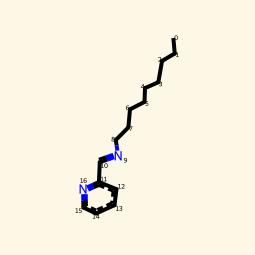 CCCCCCCCCN=Cc1ccccn1